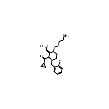 NCCSSC1CCN(Cc2ccccc2Cl)C(C(=O)C2CC2)/C1=C/C(=O)O